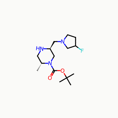 C[C@@H]1CN[C@@H](CN2CCC(F)C2)CN1C(=O)OC(C)(C)C